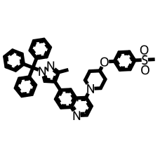 Cc1nn(C(c2ccccc2)(c2ccccc2)c2ccccc2)cc1-c1ccc2nccc(N3CCC(Oc4ccc(S(C)(=O)=O)cc4)CC3)c2c1